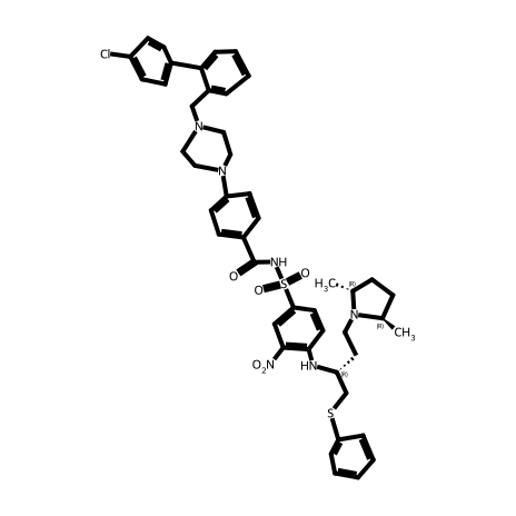 C[C@@H]1CC[C@@H](C)N1CC[C@H](CSc1ccccc1)Nc1ccc(S(=O)(=O)NC(=O)c2ccc(N3CCN(Cc4ccccc4-c4ccc(Cl)cc4)CC3)cc2)cc1[N+](=O)[O-]